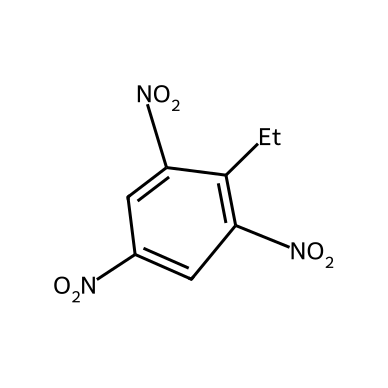 [CH2]Cc1c([N+](=O)[O-])cc([N+](=O)[O-])cc1[N+](=O)[O-]